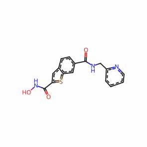 O=C(NCc1ccccn1)c1ccc2cc(C(=O)NO)sc2c1